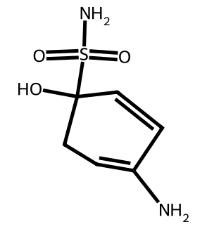 NC1=CCC(O)(S(N)(=O)=O)C=C1